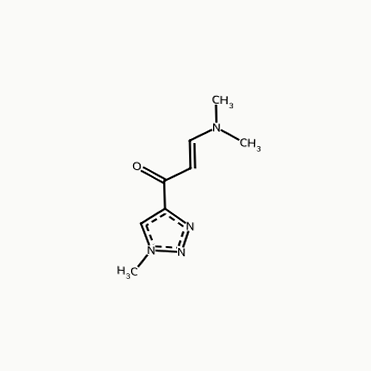 CN(C)C=CC(=O)c1cn(C)nn1